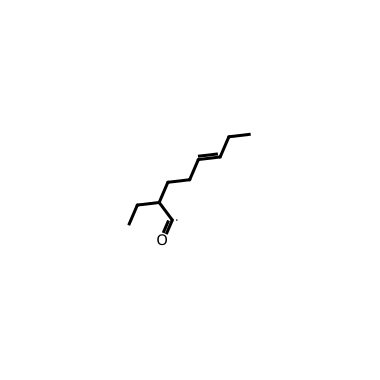 CC/C=C/CCC([C]=O)CC